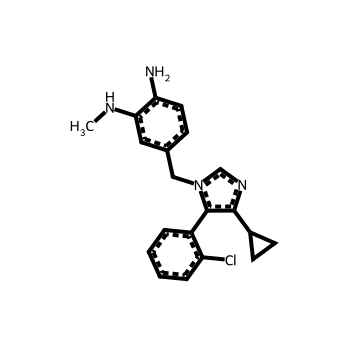 CNc1cc(Cn2cnc(C3CC3)c2-c2ccccc2Cl)ccc1N